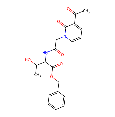 CC(=O)c1cccn(CC(=O)NC(C(=O)OCc2ccccc2)C(C)O)c1=O